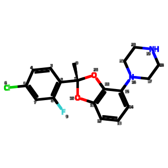 C[C@]1(c2ccc(Cl)cc2F)Oc2cccc(N3CCNCC3)c2O1